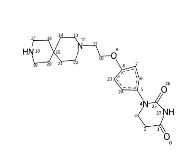 O=C1CCN(c2ccc(OCCN3CCC4(CCNCC4)CC3)cc2)C(=O)N1